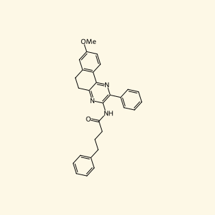 COc1ccc2c(c1)CCc1nc(NC(=O)CCCc3ccccc3)c(-c3ccccc3)nc1-2